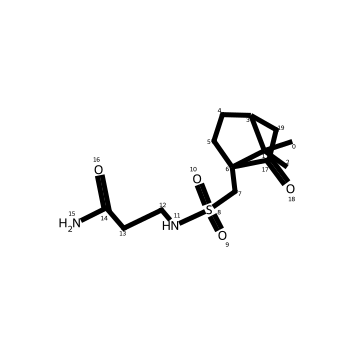 CC1(C)C2CCC1(CS(=O)(=O)NCCC(N)=O)C(=O)C2